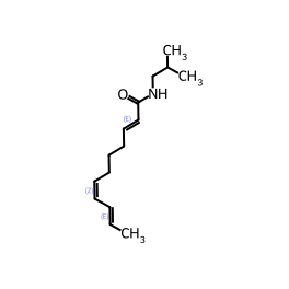 C/C=C/C=C\CCC/C=C/C(=O)NCC(C)C